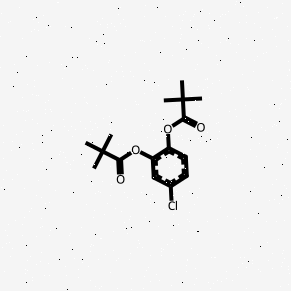 CC(C)(C)C(=O)Oc1ccc(Cl)cc1OC(=O)C(C)(C)C